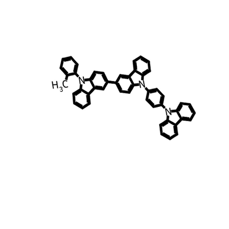 Cc1ccccc1-n1c2ccccc2c2cc(-c3ccc4c(c3)c3ccccc3n4-c3ccc(-n4c5ccccc5c5ccccc54)cc3)ccc21